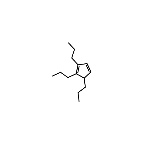 CCCC1=C(CCC)C(CCC)C=C1